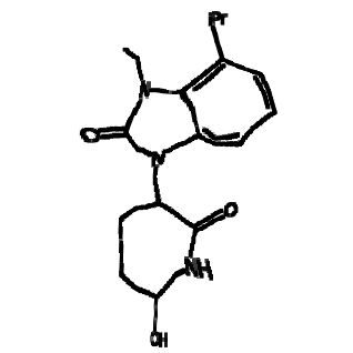 CC(C)c1cccc2c1n(C)c(=O)n2C1CCC(O)NC1=O